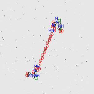 COc1cc(Nc2cc(NCc3cccc(S(=O)(=O)F)c3)ccc2Cl)cc2cc(OCC(=O)NCCOCCOCCOCCOCCOCCOCCOCCOCCOCCOCCOCCNC(=O)COc3cc4cc(Nc5cc(NCc6cccc(S(=O)(=O)F)c6)ccc5Cl)cc(OC)c4n(C)c3=O)c(=O)n(C)c12